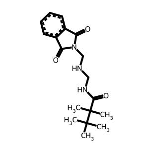 CC(C)(C)C(C)(C)C(=O)NCNCN1C(=O)c2ccccc2C1=O